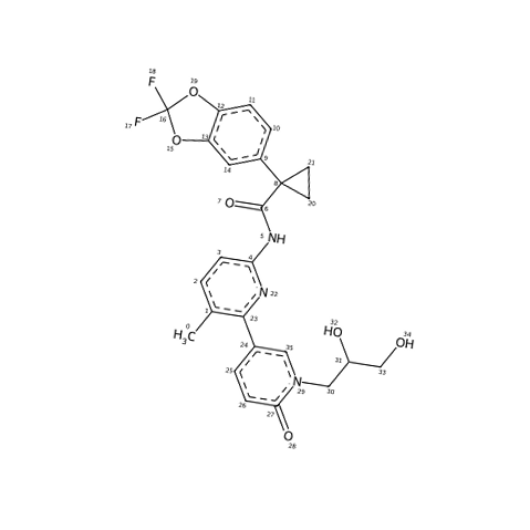 Cc1ccc(NC(=O)C2(c3ccc4c(c3)OC(F)(F)O4)CC2)nc1-c1ccc(=O)n(CC(O)CO)c1